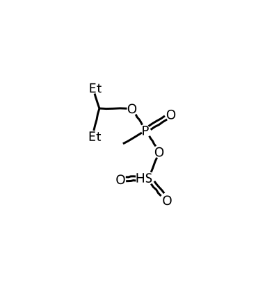 CCC(CC)OP(C)(=O)O[SH](=O)=O